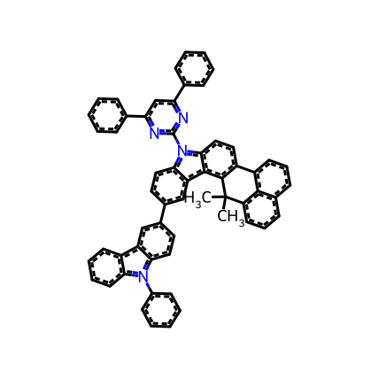 CC1(C)c2cccc3cccc(c23)-c2ccc3c(c21)c1cc(-c2ccc4c(c2)c2ccccc2n4-c2ccccc2)ccc1n3-c1nc(-c2ccccc2)cc(-c2ccccc2)n1